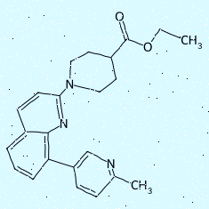 CCOC(=O)C1CCN(c2ccc3cccc(-c4ccc(C)nc4)c3n2)CC1